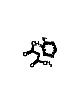 CC(=O)CC(C)=O.[Ir].c1ccncc1